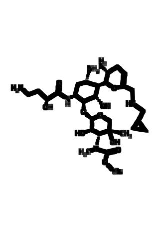 CN(C(=O)OC(C)(C)C)[C@@H]1[C@@H](O)[C@@H](O[C@@H]2[C@@H](O)[C@H](C3OC(CNCC4CC4)=CC[C@H]3N)[C@@H](N)C[C@H]2NC(=O)[C@H](O)CCN)OC[C@]1(C)O